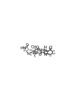 N#C[C@H](C[C@@H]1CCNC1=O)NC[C@@](C=O)(CC1CC1)NC(=O)c1nc2cccc(Cl)c2[nH]1